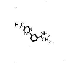 C=C(N)c1cccc(-c2ncc(C)cn2)c1